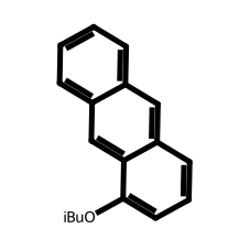 CC(C)COc1cccc2cc3ccccc3cc12